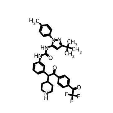 Cc1ccc(-n2nc(C(C)(C)C)cc2NC(=O)Nc2cccc(C(C(=O)c3ccc(C(=O)C(F)(F)F)cc3)C3CCNCC3)c2)cc1